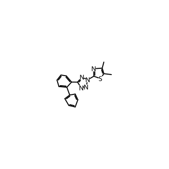 Cc1nc(-n2nnc(-c3ccccc3-c3ccccc3)n2)sc1C